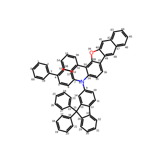 c1ccc(-c2ccc(N(c3ccc4c(c3)C(c3ccccc3)(c3ccccc3)c3ccccc3-4)c3ccc4c(oc5cc6ccccc6cc54)c3-c3ccccc3)cc2)cc1